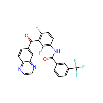 O=C(Nc1ccc(F)c(C(=O)c2ccc3nccnc3c2)c1F)c1cccc(C(F)(F)F)c1